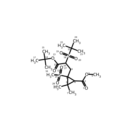 COC(=O)C1C(C)(C)C1(CC(C(=O)OC(C)(C)C)S(=O)(=O)C(C)(C)C)S(C)(=O)=O